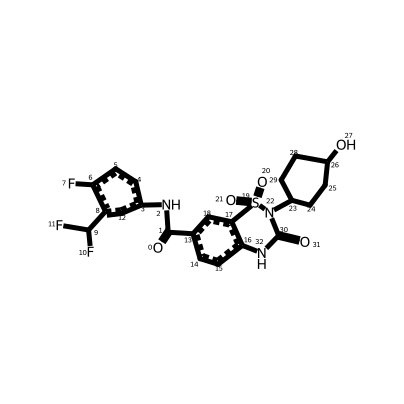 O=C(Nc1ccc(F)c(C(F)F)c1)c1ccc2c(c1)S(=O)(=O)N(C1CCC(O)CC1)C(=O)N2